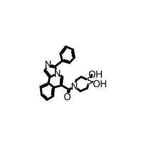 O=C(c1cn2c(-c3ccccc3)ncc2c2ccccc12)N1CCS(O)(O)CC1